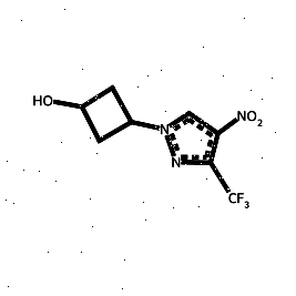 O=[N+]([O-])c1cn(C2CC(O)C2)nc1C(F)(F)F